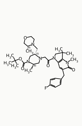 C[C@@H]1COCCN1C[C@H]1CN(C(=O)OC(C)(C)C)[C@H](C)CN1CC(=O)N1CC(C)(C)c2c1cc(Cc1ccc(F)cc1)c(=O)n2C